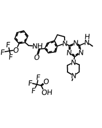 CNc1nc(N2CCN(C)CC2)nc(N2CCc3cc(C(=O)NCc4ccccc4OC(F)(F)F)ccc32)n1.O=C(O)C(F)(F)F